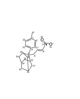 Cc1ccc(C2(CC=C[N+](=O)[O-])C3CC4CC(C3)CC2C4)cc1